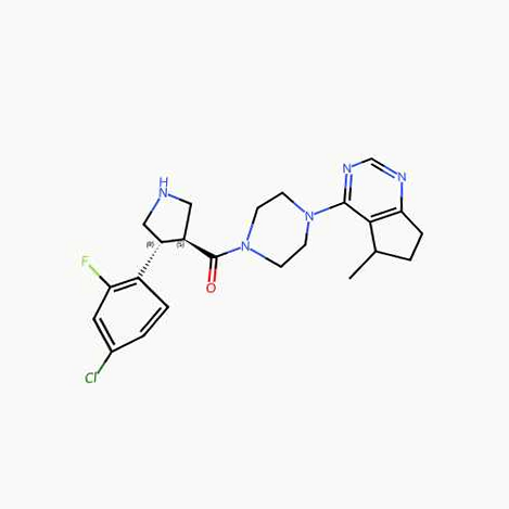 CC1CCc2ncnc(N3CCN(C(=O)[C@@H]4CNC[C@H]4c4ccc(Cl)cc4F)CC3)c21